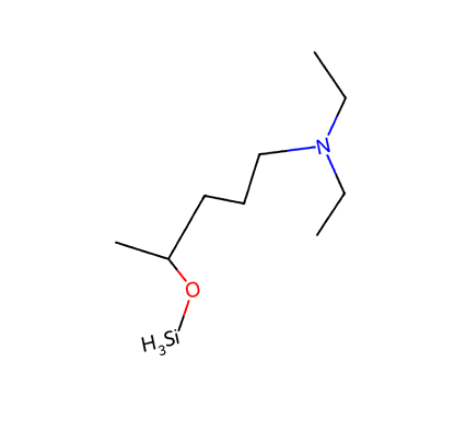 CCN(CC)CCCC(C)O[SiH3]